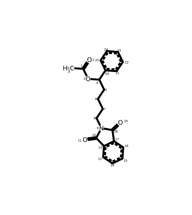 CC(=O)OC(CCCCN1C(=O)c2ccccc2C1=O)c1ccccc1